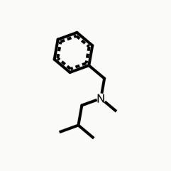 CC(C)CN(C)Cc1ccccc1